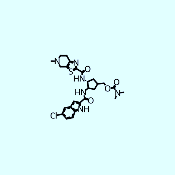 CN1CCc2nc(C(=O)N[C@@H]3CC(COC(=O)N(C)C)CC3NC(=O)c3cc4cc(Cl)ccc4[nH]3)sc2C1